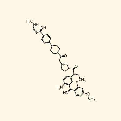 CCN(C(=O)[C@@H]1CCN(CC(=O)N2CCC(c3ccc(C(=N)/N=C\NC)cc3)CC2)C1)c1ccc(N)c(C(=N)c2ncc(OC)cc2F)c1